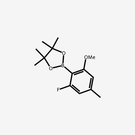 COc1cc(C)cc(F)c1B1OC(C)(C)C(C)(C)O1